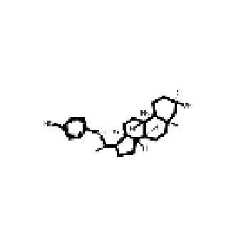 C[C@@H](Nc1ccc(C#N)cc1)C1CC[C@H]2[C@@H]3CC[C@@H]4C[C@](C)(O)CC[C@@H]4[C@H]3CC[C@]12C